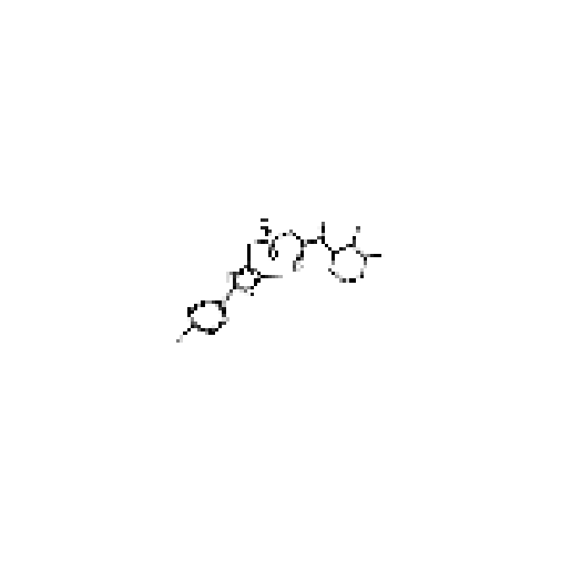 Cc1ccc(-c2nc(CS(=O)(=O)CC(=O)NC3CCCC(C)C3C)c(C)o2)cc1